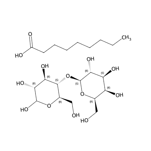 CCCCCCCCC(=O)O.OC[C@H]1O[C@@H](O[C@H]2[C@H](O)[C@@H](O)C(O)O[C@@H]2CO)[C@H](O)[C@@H](O)[C@H]1O